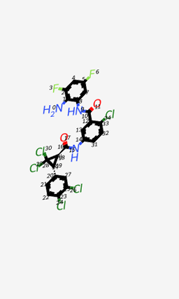 Nc1c(F)cc(F)cc1NC(=O)c1cc(NC(=O)[C@H]2[C@H](c3ccc(Cl)c(Cl)c3)C2(Cl)Cl)ccc1Cl